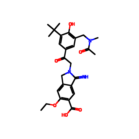 CCOc1cc2c(cc1C(=O)O)C(=N)N(CC(=O)c1cc(CN(C)C(C)=O)c(O)c(C(C)(C)C)c1)C2